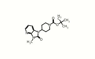 Cn1c(=O)n(C2CCN(C(=O)OC(C)(C)C)CC2)c2cccnc21